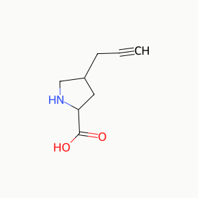 C#CCC1CNC(C(=O)O)C1